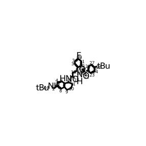 CC(C)(C)NCc1ccc2c(c1)CCCC2NC(=O)CC(NS(=O)(=O)c1ccc(C(C)(C)C)cc1)c1ccc(F)cc1